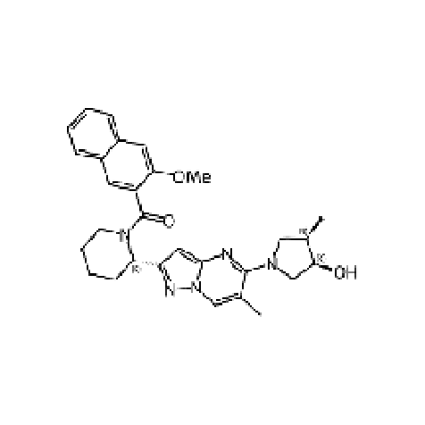 COc1cc2ccccc2cc1C(=O)N1CCCC[C@H]1c1cc2nc(N3C[C@@H](C)[C@@H](O)C3)c(C)cn2n1